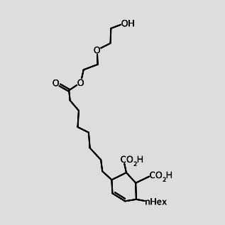 CCCCCCC1C=CC(CCCCCCCC(=O)OCCOCCO)C(C(=O)O)C1C(=O)O